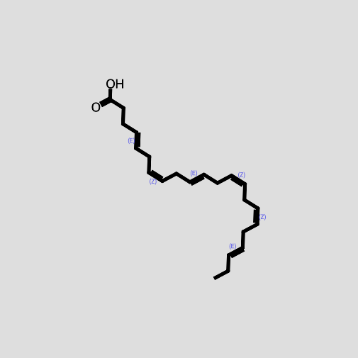 CC/C=C/C/C=C\C/C=C\C/C=C/C/C=C\C/C=C/CCC(=O)O